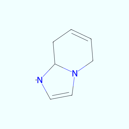 C1=CCN2C=C[N]C2C1